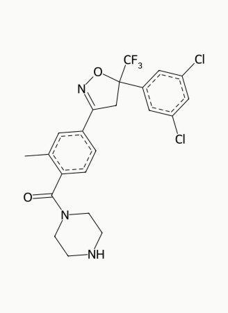 Cc1cc(C2=NOC(c3cc(Cl)cc(Cl)c3)(C(F)(F)F)C2)ccc1C(=O)N1CCNCC1